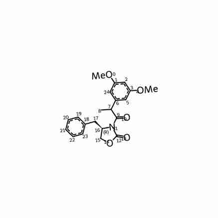 COc1cc(OC)cc(C(C)C(=O)N2C(=O)OC[C@H]2Cc2ccccc2)c1